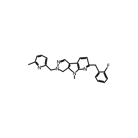 Cc1cccc(CN2Cc3c(c4ccc(Cc5ccccc5F)nc4n3C)C=N2)n1